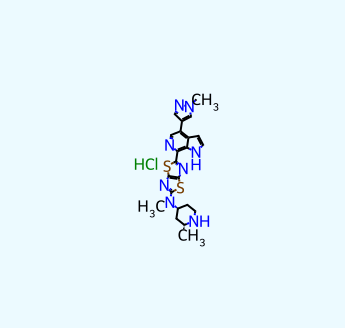 C[C@@H]1C[C@@H](N(C)c2nc3sc(-c4ncc(-c5cnn(C)c5)c5cc[nH]c45)nc3s2)CCN1.Cl